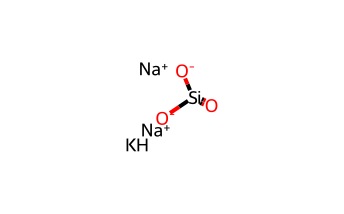 O=[Si]([O-])[O-].[KH].[Na+].[Na+]